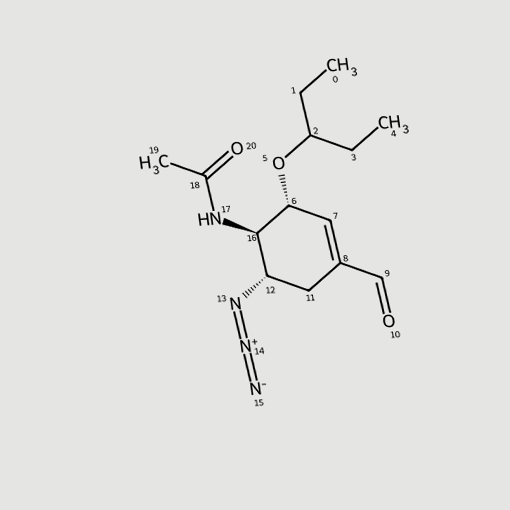 CCC(CC)O[C@@H]1C=C(C=O)C[C@H](N=[N+]=[N-])[C@H]1NC(C)=O